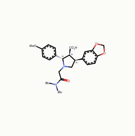 CCC(C)N(C(=O)CN1C[C@H](c2ccc3c(c2)OCO3)[C@H](C(=O)O)[C@H]1c1ccc(OC)cc1)C(C)CC